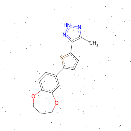 Cc1n[nH]nc1-c1ccc(-c2ccc3c(c2)OCCCO3)s1